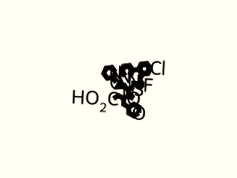 O=C(O)CC(CC1CCOCC1)C(=O)N(c1nc(-c2cc(Cl)ccc2-c2ccc(N3CCCCC3=O)nc2)c(F)s1)C1CC1